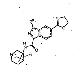 CCCn1nc(C(=O)N[C@@H]2CN3CCC2CC3)c2ccc(C3=NCCO3)cc21